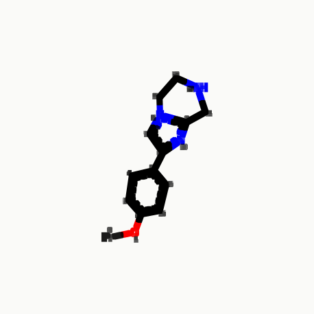 CC(C)Oc1ccc(-c2cn3c(n2)CNCC3)cc1